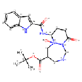 CC(C)(C)OC(=O)C1CNCN2C(=O)CCC(NC(=O)c3cc4ccccc4[nH]3)[N+]2([O-])C1